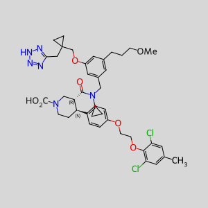 COCCCc1cc(CN(C(=O)[C@H]2CN(C(=O)O)CC[C@@H]2c2ccc(OCCOc3c(Cl)cc(C)cc3Cl)cc2)C2CC2)cc(OCC2(Cc3nn[nH]n3)CC2)c1